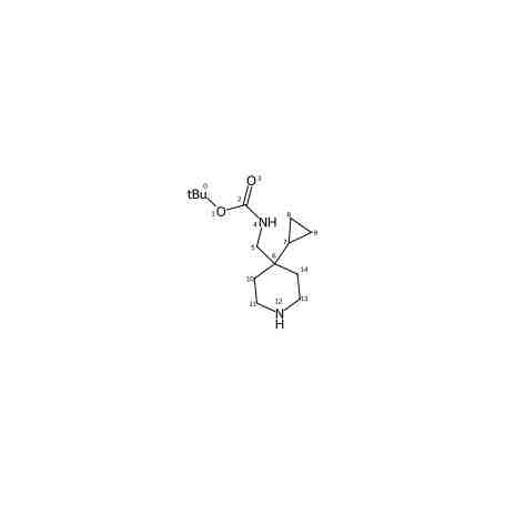 CC(C)(C)OC(=O)NCC1(C2CC2)CCNCC1